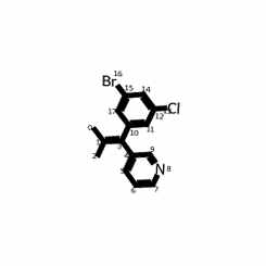 CC(C)=C(c1cccnc1)c1cc(Cl)cc(Br)c1